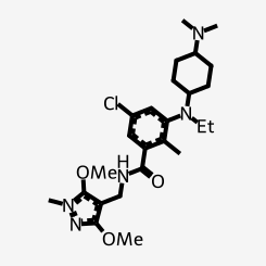 CCN(c1cc(Cl)cc(C(=O)NCc2c(OC)nn(C)c2OC)c1C)C1CCC(N(C)C)CC1